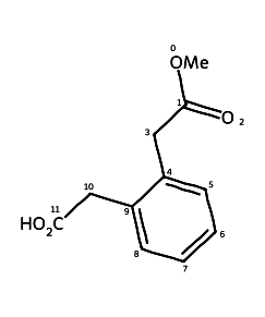 COC(=O)Cc1ccccc1CC(=O)O